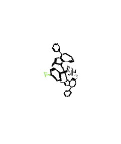 CC1=CC2=C(C=CC=CC2c2ccccc2)C1C([SiH3])(c1ccc(F)cc1)C1C(C)=CC2=C1C=CC=CC2c1ccccc1